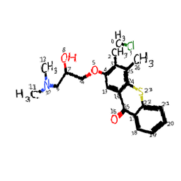 CCl.Cc1c(OCC(O)CN(C)C)cc2c(=O)c3ccccc3sc2c1C